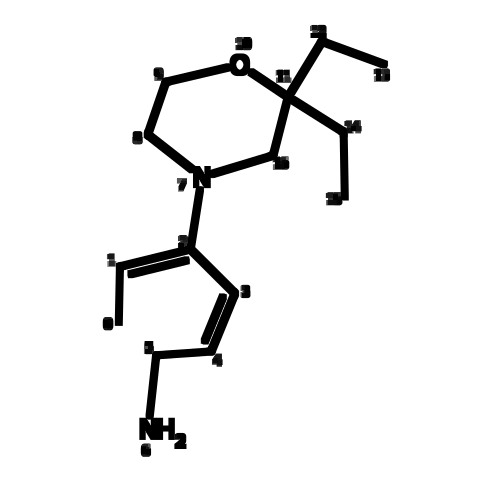 C/C=C(\C=C/CN)N1CCOC(CC)(CC)C1